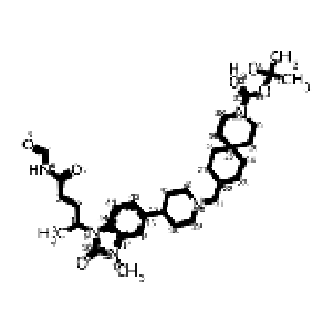 CC(CCC(=O)NC=O)n1c(=O)n(C)c2cc(C3CCN(CC4CCC5(CC4)CCN(C(=O)OC(C)(C)C)CC5)CC3)ccc21